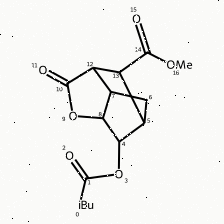 CCC(C)C(=O)OC1C2CC3C1OC(=O)C3C2C(=O)OC